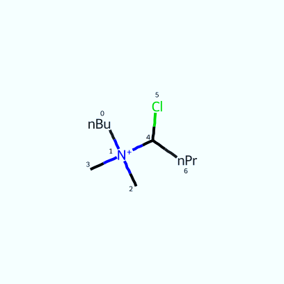 CCCC[N+](C)(C)C(Cl)CCC